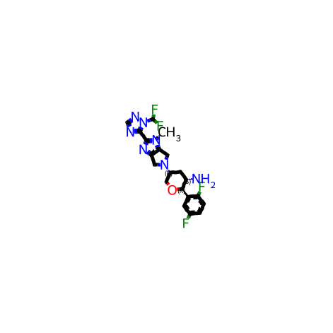 Cn1c(-c2ncnn2C(F)F)nc2c1CN([C@H]1CO[C@H](c3cc(F)ccc3F)[C@@H](N)C1)C2